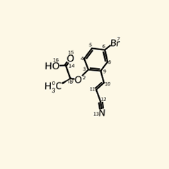 C[C@H](Oc1ccc(Br)cc1C=CC#N)C(=O)O